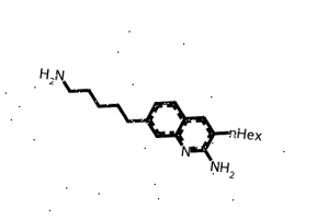 CCCCCCc1cc2ccc(CCCCCN)cc2nc1N